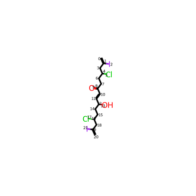 C=C(I)CC(Cl)CCC(=O)C=CC(O)CC[C@H](Cl)CC(=C)I